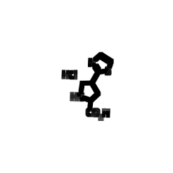 Cl.O=C(O)C1CC(c2nccs2)CN1